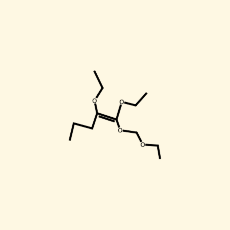 CCCC(OCC)=C(OCC)OCOCC